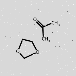 C1COCO1.CC(C)=O